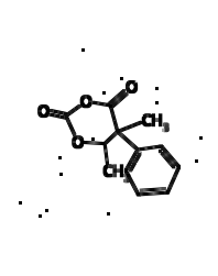 CC1OC(=O)OC(=O)C1(C)c1ccccc1